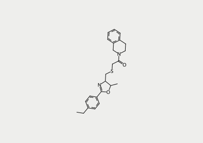 CCc1ccc(C2=NC(CSCC(=O)N3CCc4ccccc4C3)C(C)O2)cc1